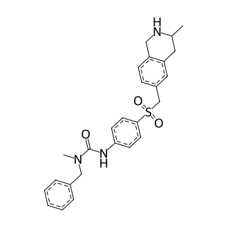 CC1Cc2cc(CS(=O)(=O)c3ccc(NC(=O)N(C)Cc4ccccc4)cc3)ccc2CN1